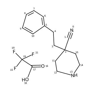 N#CC1(CCc2ccccc2)CCNCC1.O=C(O)C(F)(F)F